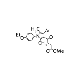 CCOc1ccc(-n2c(C)c(C(C)=O)c(C(=O)CCC(=O)OC)c2C)cc1